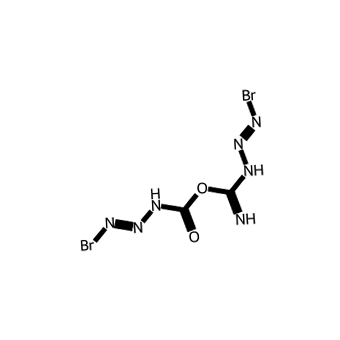 N=C(N/N=N/Br)OC(=O)N/N=N/Br